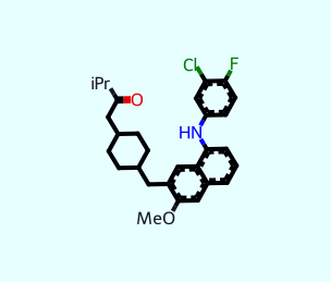 COc1cc2cccc(Nc3ccc(F)c(Cl)c3)c2cc1CC1CCC(CC(=O)C(C)C)CC1